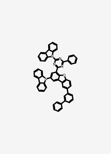 c1ccc(-c2cccc(-c3ccc4oc5c(-c6nc(-c7ccccc7)nc(-n7c8ccccc8c8ccccc87)n6)cc(-n6c7ccccc7c7ccccc76)cc5c4c3)c2)cc1